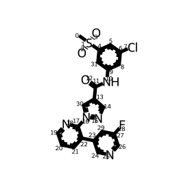 CS(=O)(=O)c1cc(Cl)cc(NC(=O)c2cnn(-c3ncccc3-c3cncc(F)c3)c2)c1